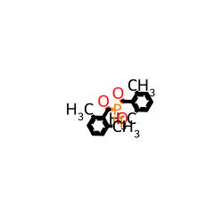 Cc1cccc(C)c1C(=O)[PH](=O)C(=O)c1c(C)cccc1C